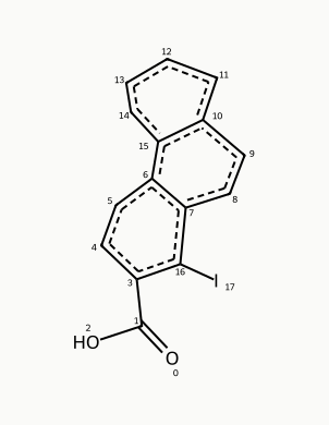 O=C(O)c1ccc2c(ccc3ccccc32)c1I